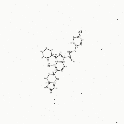 O=C(NCc1ccc(Cl)cc1)c1nn(C2CCCCO2)c2c(Br)c(N3CCn4nncc4C3)ccc12